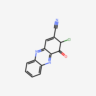 N#CC1=Cc2nc3ccccc3nc2C(=O)C1Cl